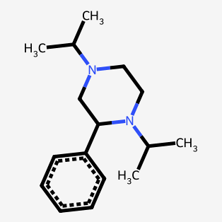 CC(C)N1CCN(C(C)C)C(c2ccccc2)C1